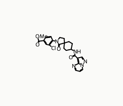 COC(=O)c1ccc(N2CCC3(CCC(NC(=O)c4cnn5cccnc45)CC3)C2=O)c(Cl)c1